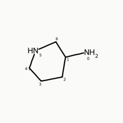 NC1CC[CH]NC1